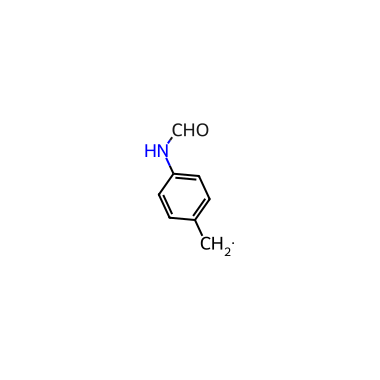 [CH2]c1ccc(NC=O)cc1